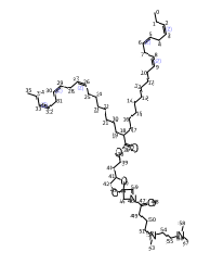 CC/C=C\C/C=C\C/C=C\CCCCCCCCC(CCCCCCC/C=C\C/C=C\C/C=C\CC)C(=O)OCCC1COC2(CN(C(=O)CCCN(C)CCN(C)C)C2)O1